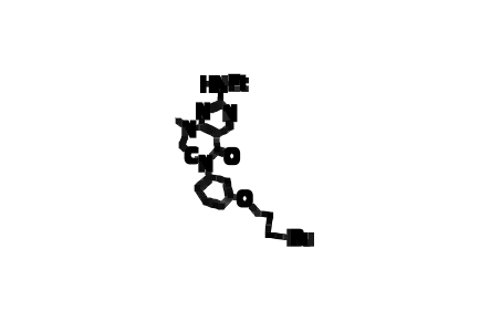 CCNc1ncc2c(n1)N(C)CCN(c1cccc(OCCCC(C)CC)c1)C2=O